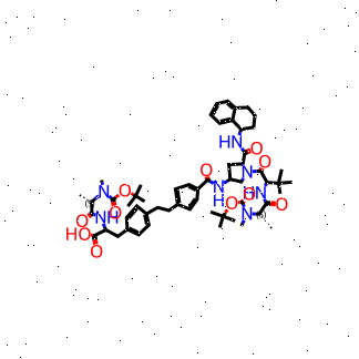 C[C@@H](C(=O)NC(Cc1ccc(CCc2ccc(C(=O)NC3CC(C(=O)NC4CCCc5ccccc54)N(C(=O)C(NC(=O)[C@H](C)N(C)C(=O)OC(C)(C)C)C(C)(C)C)C3)cc2)cc1)C(=O)O)N(C)C(=O)OC(C)(C)C